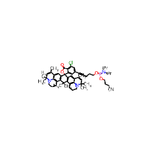 CC1=CC(C)(C)N2CCCc3c2c1cc1c3C(C)(C)c2c(cc3c4c2CCCN4C(C)(C)C=C3C)C12OC(=O)c1c(Cl)cc(C#CCCCOP(OCCCC#N)N(C(C)C)C(C)C)cc12